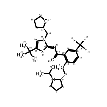 CC(C)N1CCC[C@H]1COc1ccc(C(F)(F)F)cc1C(=O)N=c1sc(C(C)(C)C)cn1C[C@H]1CCCO1